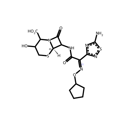 Nc1nc(/C(=N/OC2CCCC2)C(=O)NC2C(=O)N3C(C(=O)O)C(O)CS[C@H]23)ns1